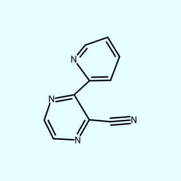 N#Cc1nccnc1-c1ccccn1